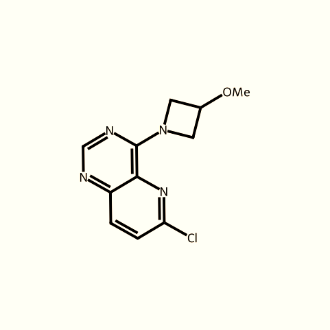 COC1CN(c2ncnc3ccc(Cl)nc23)C1